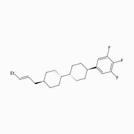 CC/C=C/C[C@H]1CC[C@H]([C@H]2CC[C@H](c3cc(F)c(F)c(F)c3)CC2)CC1